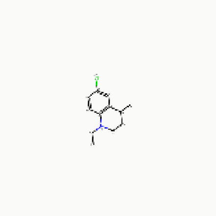 CCN1CCC(C)c2cc(Cl)ccc21